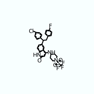 O=c1cc(NC2CCN(S(=O)(=O)C(F)(F)F)CC2)c2cc(C(Cc3ccc(F)cc3)c3ccc(Cl)cc3)ccc2[nH]1